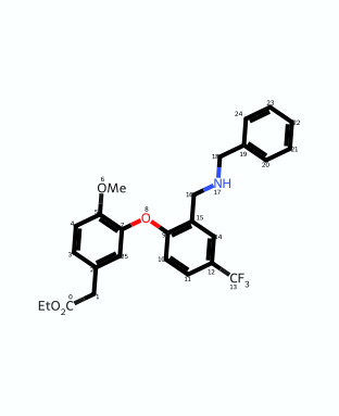 CCOC(=O)Cc1ccc(OC)c(Oc2ccc(C(F)(F)F)cc2CNCc2ccccc2)c1